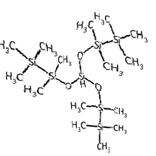 C[Si](C)(C)[Si](C)(C)O[SiH](O[Si](C)(C)[Si](C)(C)C)O[Si](C)(C)[Si](C)(C)C